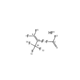 C=C(F)F.F.FC(F)=C(F)C(F)(F)F